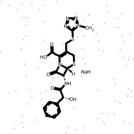 Cn1nnnc1SCC1=C(C(=O)O)N2C(=O)[C@@H](NC(=O)[C@H](O)c3ccccc3)[C@H]2SC1.[NaH]